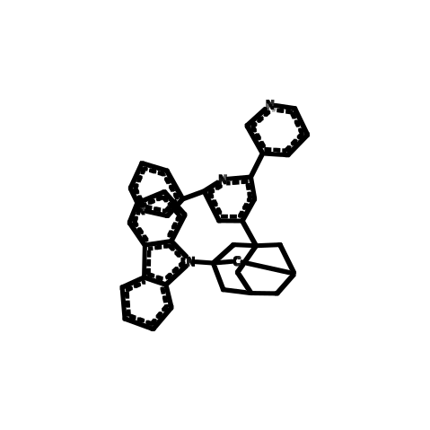 c1cncc(-c2cc(C34CC5CC(C3)CC(n3c6ccccc6c6ccccc63)(C5)C4)cc(-c3cccnc3)n2)c1